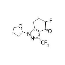 O=C1c2c(C(F)(F)F)nn(C3CCCO3)c2CCC1F